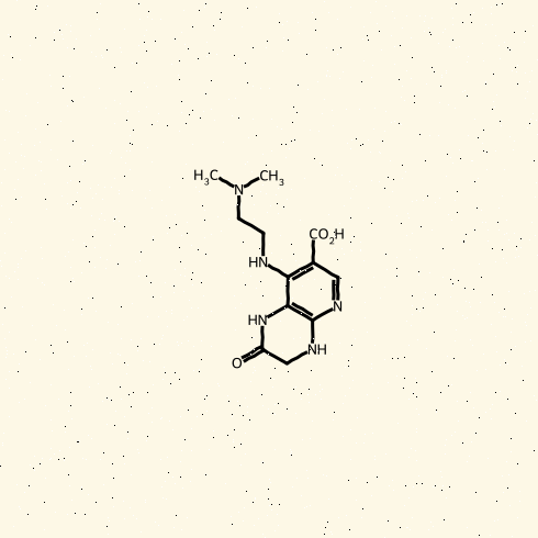 CN(C)CCNc1c(C(=O)O)cnc2c1NC(=O)CN2